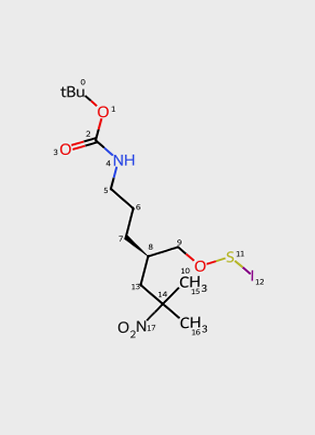 CC(C)(C)OC(=O)NCCC[C@@H](COSI)CC(C)(C)[N+](=O)[O-]